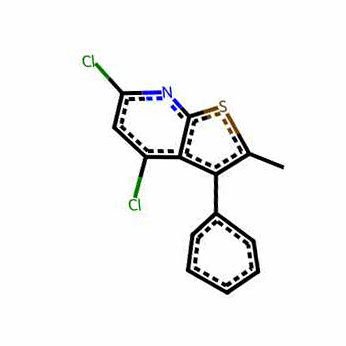 Cc1sc2nc(Cl)cc(Cl)c2c1-c1ccccc1